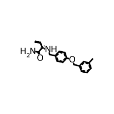 C=C[C@H](NCc1ccc(OCc2cccc(C)c2)cc1)C(N)=O